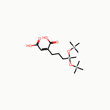 C[Si](C)(C)O[Si](C)(CCCC(=CC(=O)O)C(=O)O)O[Si](C)(C)C